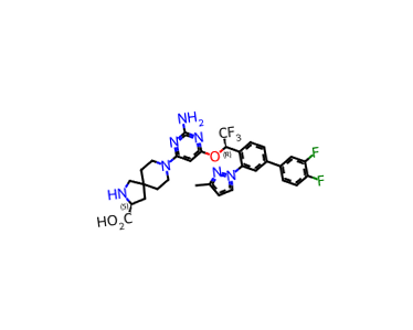 Cc1ccn(-c2cc(-c3ccc(F)c(F)c3)ccc2[C@@H](Oc2cc(N3CCC4(CC3)CN[C@H](C(=O)O)C4)nc(N)n2)C(F)(F)F)n1